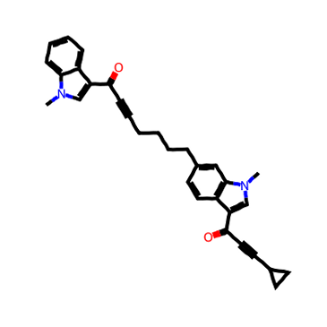 Cn1cc(C(=O)C#CCCCCc2ccc3c(C(=O)C#CC4CC4)cn(C)c3c2)c2ccccc21